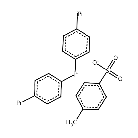 CC(C)c1ccc([I+]c2ccc(C(C)C)cc2)cc1.Cc1ccc(S(=O)(=O)[O-])cc1